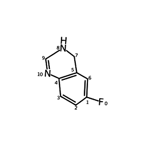 Fc1ccc2c(c1)CNC=N2